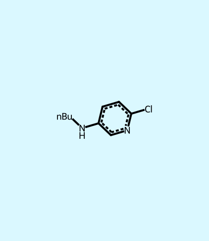 CCCCNc1ccc(Cl)nc1